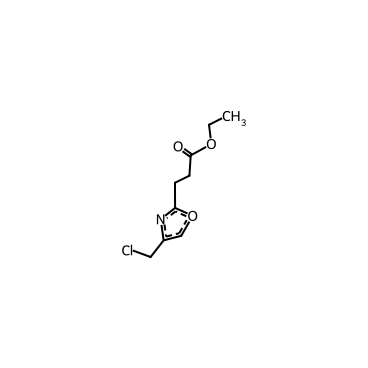 CCOC(=O)CCc1nc(CCl)co1